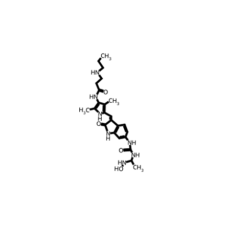 CCCNCCC(=O)Nc1c(C)[nH]c(/C=C2\C(=O)Nc3cc(NC(=O)NC(C)NO)ccc32)c1C